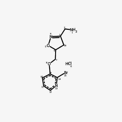 Cl.NCC1=NOC(COc2cccnc2Br)C1